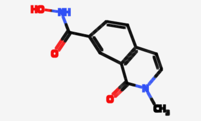 Cn1ccc2ccc(C(=O)NO)cc2c1=O